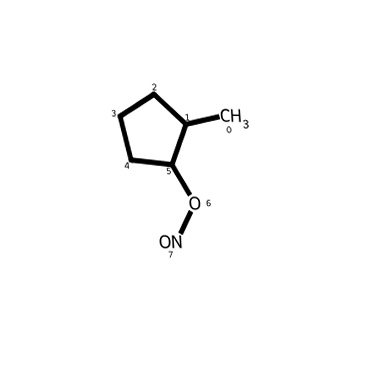 CC1CCCC1ON=O